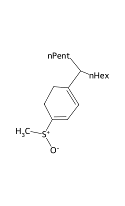 CCCCCCC(CCCCC)C1=CC=C([S+](C)[O-])CC1